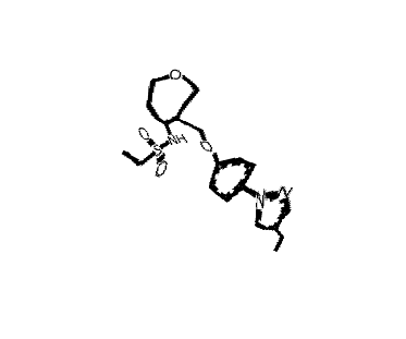 CCc1cnn(-c2ccc(OCC3COCCC3NS(=O)(=O)CC)cc2)c1